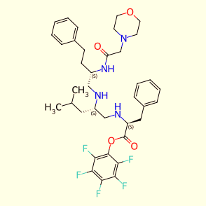 CC(C)C[C@@H](CN[C@@H](Cc1ccccc1)C(=O)Oc1c(F)c(F)c(F)c(F)c1F)NC[C@H](CCc1ccccc1)NC(=O)CN1CCOCC1